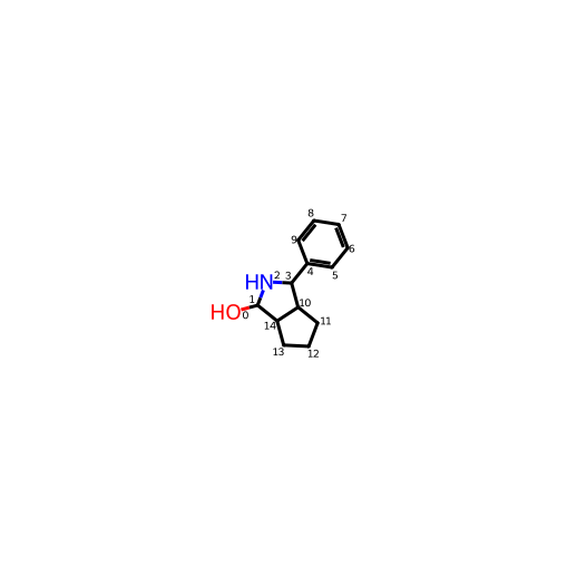 OC1NC(c2ccccc2)C2CCCC12